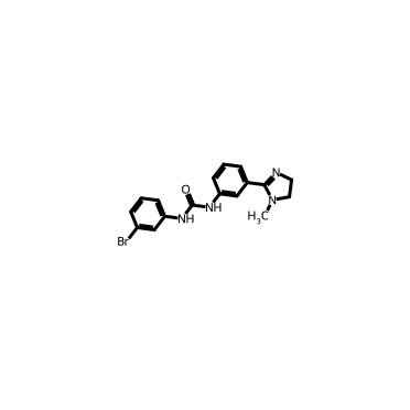 CN1CCN=C1c1cccc(NC(=O)Nc2cccc(Br)c2)c1